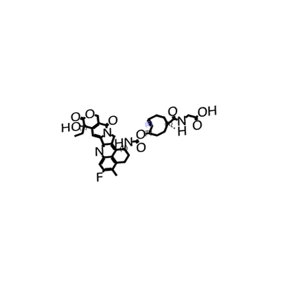 CC[C@@]1(O)C(=O)OCc2c1cc1n(c2=O)Cc2c-1nc1cc(F)c(C)c3c1c2[C@@H](NC(=O)O[C@H]1/C=C/CC[C@@](C)(C(=O)NCC(=O)O)CC1)CC3